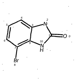 O=C1[N]c2cccc(Br)c2N1